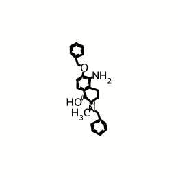 CN(Cc1ccccc1)[C@@H]1CCc2c(ccc(OCc3ccccc3)c2N)[C@H]1O